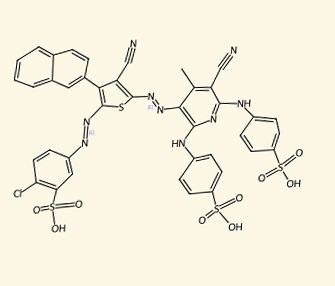 Cc1c(C#N)c(Nc2ccc(S(=O)(=O)O)cc2)nc(Nc2ccc(S(=O)(=O)O)cc2)c1/N=N/c1sc(/N=N/c2ccc(Cl)c(S(=O)(=O)O)c2)c(-c2ccc3ccccc3c2)c1C#N